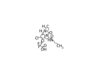 CCCCNC(=O)[C@H]1Cc2c(ccc(Cl)c2Cl)N1C(=O)[C@@H](N)CC.O=C(O)C(F)(F)F